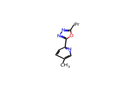 Cc1ccc(-c2nnc(C(C)C)o2)nc1